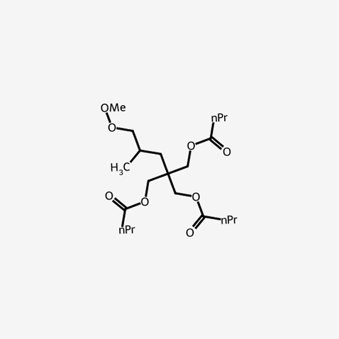 CCCC(=O)OCC(COC(=O)CCC)(COC(=O)CCC)CC(C)COOC